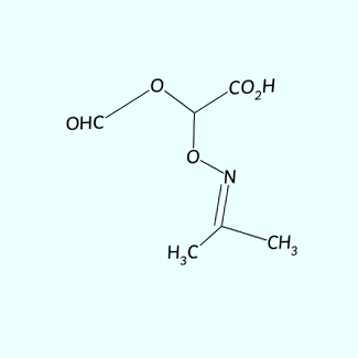 CC(C)=NOC(OC=O)C(=O)O